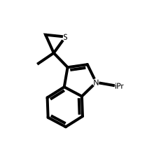 CC(C)n1cc(C2(C)CS2)c2ccccc21